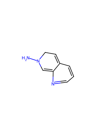 NN1C=c2ncccc2=CC1